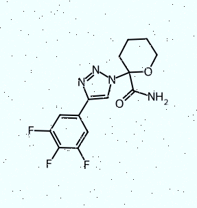 NC(=O)C1(n2cc(-c3cc(F)c(F)c(F)c3)nn2)CCCCO1